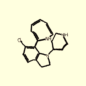 Clc1ccc2c(c1C1=CC=CC=CN1)N(C1CCNCC1)CC2